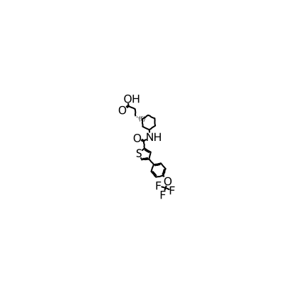 O=C(O)CC[C@@H]1CCCC(NC(=O)c2cc(-c3ccc(OC(F)(F)F)cc3)cs2)C1